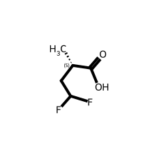 C[C@@H](CC(F)F)C(=O)O